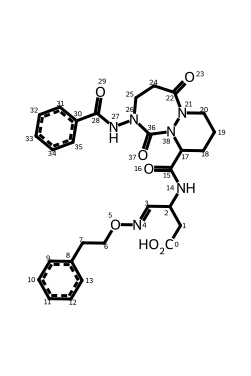 O=C(O)CC(/C=N/OCCc1ccccc1)NC(=O)C1CCCN2C(=O)CCN(NC(=O)c3ccccc3)C(=O)N12